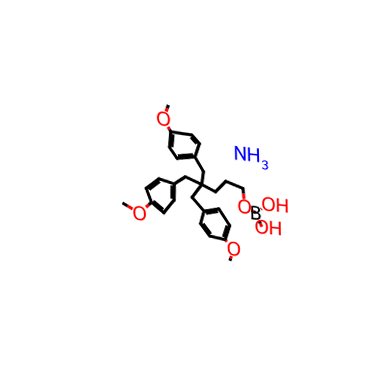 COc1ccc(CC(CCCOB(O)O)(Cc2ccc(OC)cc2)Cc2ccc(OC)cc2)cc1.N